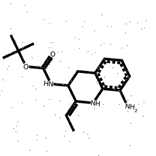 CC=C1Nc2c(N)cccc2CC1NC(=O)OC(C)(C)C